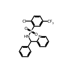 O=S(=O)(NC(c1ccccc1)c1ccccn1)c1cc(C(F)(F)F)ccc1Cl